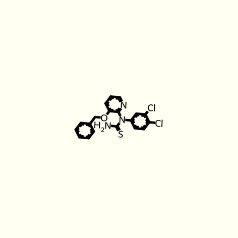 NC(=S)N(c1ccc(Cl)c(Cl)c1)c1ncccc1OCc1ccccc1